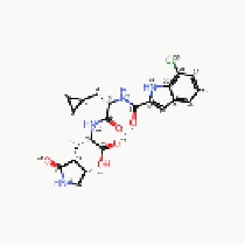 O=C(N[C@@H](CC1CC1)C(=O)N[C@@H](C[C@@H]1CCNC1=O)C(=O)O)c1cc2cccc(Cl)c2[nH]1